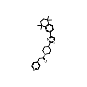 CC1(C)CCC(C)(C)c2cc(-c3csc(C4CCN(C(=O)Cc5ccncc5)CC4)n3)ccc21